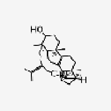 CC(C)=C1CC[C@@H](C)[C@H]2CC[C@@]3(C)C4=C(CC[C@]23C)[C@@]2(C)CCC(O)C(C)(CC1)C2CC4